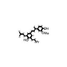 COc1cc(C(C)/C=C/c2cc(CC=C(C)C)c(O)c(CCC(C)C)c2)ccc1O